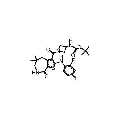 CC1(C)CNC(=O)c2sc(Nc3ccc(I)cc3F)c(C(=O)N3CC(NC(=O)OC(C)(C)C)C3)c2C1